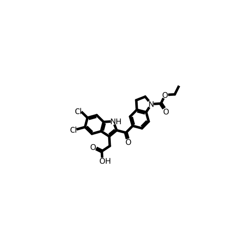 CCOC(=O)N1CCc2cc(C(=O)c3[nH]c4cc(Cl)c(Cl)cc4c3CC(=O)O)ccc21